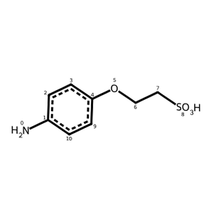 Nc1ccc(OCCS(=O)(=O)O)cc1